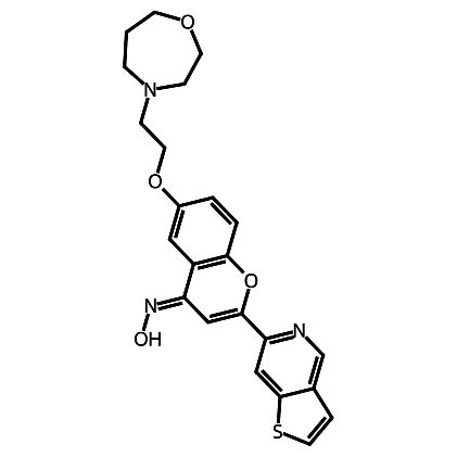 ON=c1cc(-c2cc3sccc3cn2)oc2ccc(OCCN3CCCOCC3)cc12